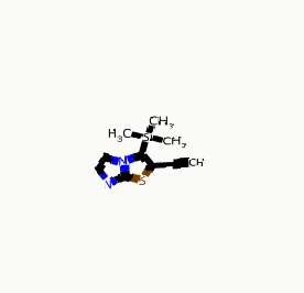 C#Cc1sc2nccn2c1[Si](C)(C)C